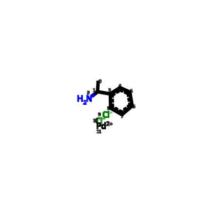 CC(N)c1ccccc1.[Cl-].[Cl-].[Pd+2]